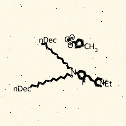 CCCCCCCCCCCCCCCCCCCCCCN(CCCCCCCCCCCCCCCCCCCCCC)c1ccc(C=Cc2cc[n+](CC)cc2)c(F)c1.Cc1ccc(S(=O)(=O)[O-])cc1